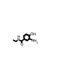 CCNC(=O)c1ccc(O)c(N)c1